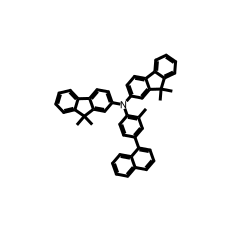 Cc1cc(-c2cccc3ccccc23)ccc1N(c1ccc2c(c1)C(C)(C)c1ccccc1-2)c1ccc2c(c1)C(C)(C)c1ccccc1-2